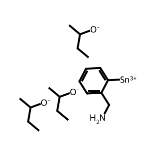 CCC(C)[O-].CCC(C)[O-].CCC(C)[O-].NCc1cccc[c]1[Sn+3]